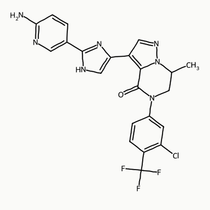 CC1CN(c2ccc(C(F)(F)F)c(Cl)c2)C(=O)c2c(-c3c[nH]c(-c4ccc(N)nc4)n3)cnn21